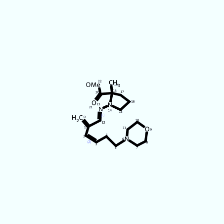 C=C(/C=C\CCN1CCOCC1)/C=N/N1CCCC1(C)C(=O)OC